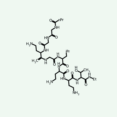 C=C(NCC(=O)NC(CC(C)C)C(=O)NC(CCN)C(=O)NC(CCN)C(=O)NC(C(=O)NCC)C(C)O)C(CCN)NC(=O)CNC(=O)CNC(=O)CCC